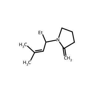 C=C1CCCN1C(C=C(C)C)CC